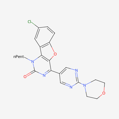 CCCCCn1c(=O)nc(-c2cnc(N3CCOCC3)nc2)c2oc3ccc(Cl)cc3c21